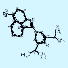 CC(C)c1cc(C2=Nc3ccc(Br)c4cccc2c34)cc(C(C)C)c1